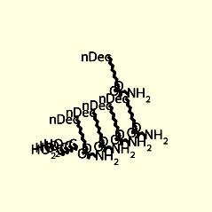 C=C(CCN)C(=O)OCCCCCCCCCCCCCCCCCC.C=C(CCN)C(=O)OCCCCCCCCCCCCCCCCCC.C=C(CCN)C(=O)OCCCCCCCCCCCCCCCCCC.C=C(CCN)C(=O)OCCCCCCCCCCCCCCCCCC.C=C(CCN)C(=O)OCCCCCCCCCCCCCCCCCC.C=CC(=O)O.C=CC(=O)O.C=CC(=O)O.C=CC(=O)O